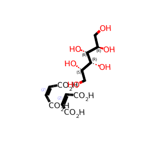 O=C(O)/C=C\C(=O)O.O=C(O)/C=C\C(=O)O.OC[C@@H](O)[C@@H](O)[C@H](O)[C@@H](O)CO